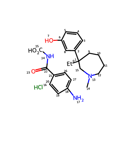 CCC1(c2cccc(O)c2)CCCCN(C)C1.Cl.Nc1ccc(C(=O)NC(=O)O)cc1